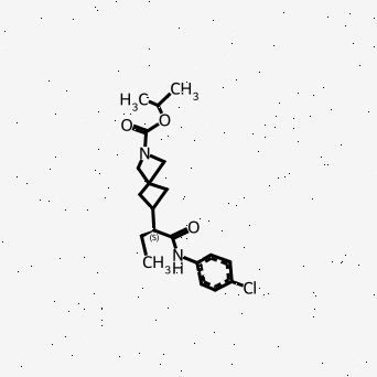 CC[C@H](C(=O)Nc1ccc(Cl)cc1)C1CC2(C1)CN(C(=O)OC(C)C)C2